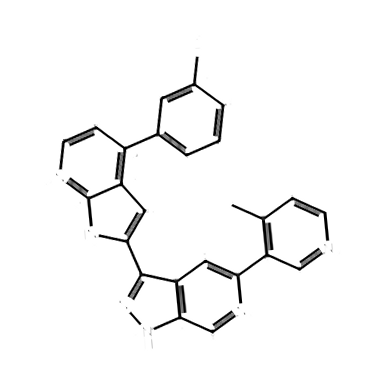 Cc1ccncc1-c1cc2c(-c3cc4c(-c5cccc(F)c5)ccnc4[nH]3)n[nH]c2cn1